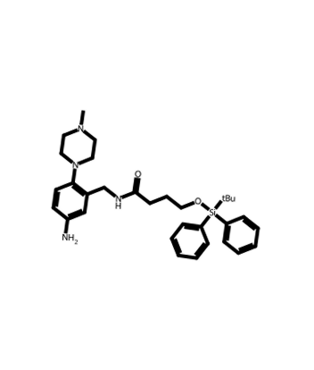 CN1CCN(c2ccc(N)cc2CNC(=O)CCCO[Si](c2ccccc2)(c2ccccc2)C(C)(C)C)CC1